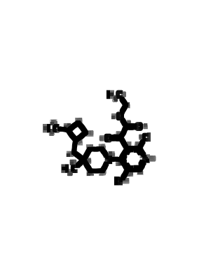 CCOC(=O)C(=O)c1c(Cl)ncc(Br)c1N1CCC(C)(CC2CCC2C)CC1